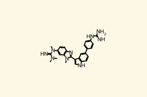 CN(C)C(=N)N(C)c1ccc2nc(-c3c[nH]c4ccc(-c5ccc(NC(=N)N)cc5)cc34)n(C)c2c1